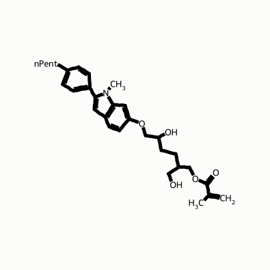 C=C(C)C(=O)OCC(CO)CCC(O)COc1ccc2cc(-c3ccc(CCCCC)cc3)n(C)c2c1